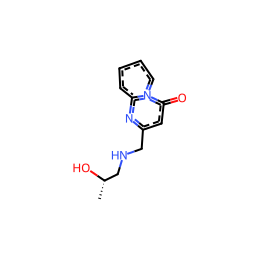 C[C@H](O)CNCc1cc(=O)n2ccccc2n1